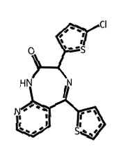 O=C1Nc2ncccc2C(c2cccs2)=NC1c1ccc(Cl)s1